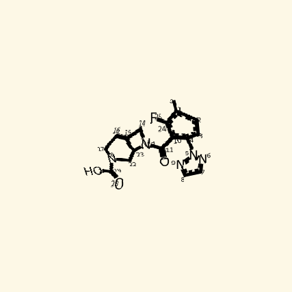 Cc1ccc(-n2nccn2)c(C(=O)N2CC3CCN(C(=O)O)CC32)c1F